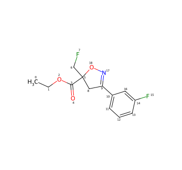 CCOC(=O)C1(CF)CC(c2cccc(F)c2)=NO1